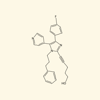 OCCCC#Cc1nc(-c2ccc(F)cc2)c(-c2ccncc2)n1CCCc1ccccc1